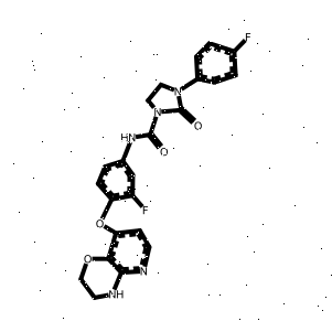 O=C(Nc1ccc(Oc2ccnc3c2OCCN3)c(F)c1)N1CCN(c2ccc(F)cc2)C1=O